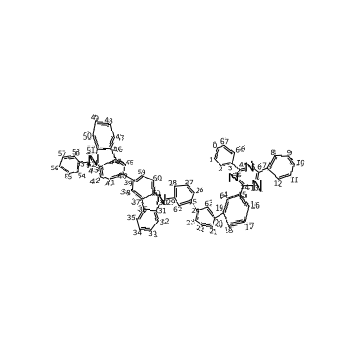 c1ccc(-c2nc(-c3ccccc3)nc(-c3cccc(-c4cccc(-c5cccc(-n6c7ccccc7c7cc(-c8ccc9c(c8)c8ccccc8n9-c8ccccc8)ccc76)c5)c4)c3)n2)cc1